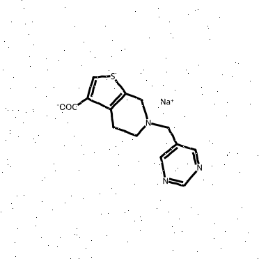 O=C([O-])c1csc2c1CCN(Cc1cncnc1)C2.[Na+]